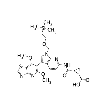 COc1nc2ncsc2c(OC)c1-c1cn(COCC[Si](C)(C)C)c2nc(NC(=O)[C@@H]3C[C@H]3C(=O)O)ccc12